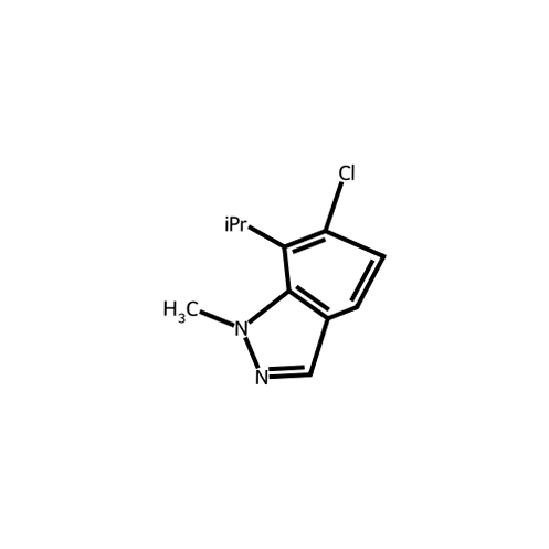 CC(C)c1c(Cl)ccc2cnn(C)c12